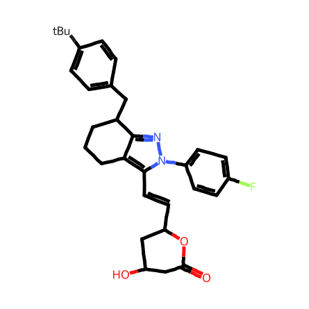 CC(C)(C)c1ccc(CC2CCCc3c2nn(-c2ccc(F)cc2)c3/C=C/C2CC(O)CC(=O)O2)cc1